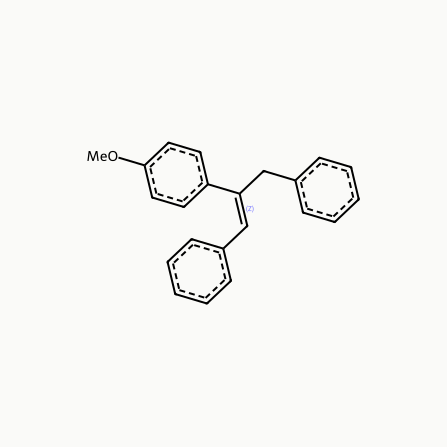 COc1ccc(/C(=C\c2ccccc2)Cc2ccccc2)cc1